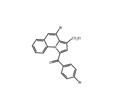 CCOC(=O)c1cc(C(=O)c2ccc(Br)cc2)n2c1c(Br)cc1ccccc12